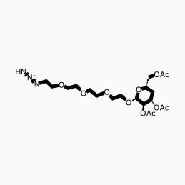 CC(=O)OC[C@@H]1C[C@H](OC(C)=O)[C@@H](OC(C)=O)[C@H](OCCOCCOCCOCCN=[N+]=N)O1